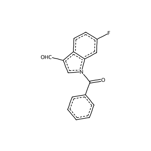 O=Cc1cn(C(=O)c2ccccc2)c2cc(F)ccc12